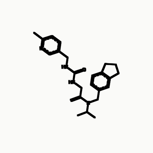 C=C(CNC(=O)NCc1ccc(C)nc1)N(Cc1ccc2c(c1)CCC2)C(C)C